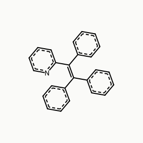 c1ccc(C(=C(c2ccccc2)c2ccccn2)c2ccccc2)cc1